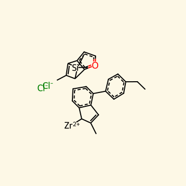 CC1=C2c3ccoc3C1[Si]2(C)C.CCc1ccc(-c2cccc3c2C=C(C)[CH]3[Zr+2])cc1.[Cl-].[Cl-]